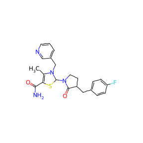 CC1=C(C(N)=O)SC(N2CCC(Cc3ccc(F)cc3)C2=O)N1Cc1cccnc1